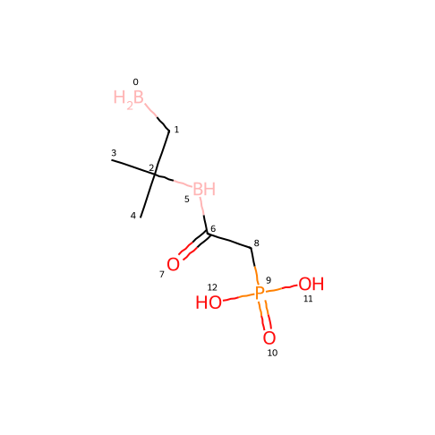 BCC(C)(C)BC(=O)CP(=O)(O)O